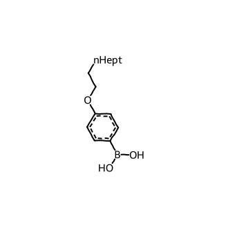 CCCCCCCCCOc1ccc(B(O)O)cc1